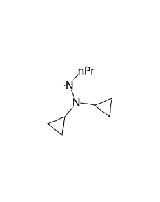 CCC[N]N(C1CC1)C1CC1